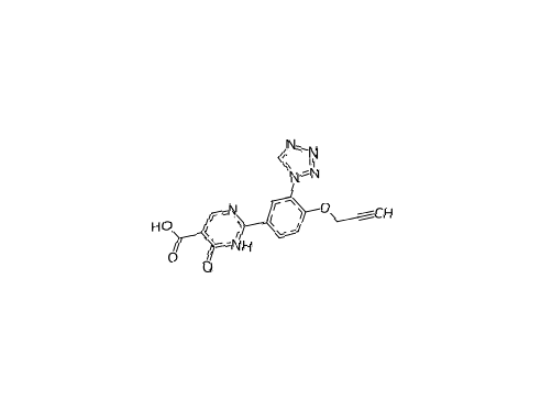 C#CCOc1ccc(-c2ncc(C(=O)O)c(=O)[nH]2)cc1-n1cnnn1